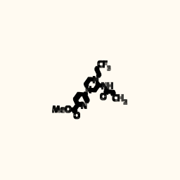 C=CC(=O)NC1CN(c2ccc(C(=O)OC)nc2)CCN1CCC(F)(F)F